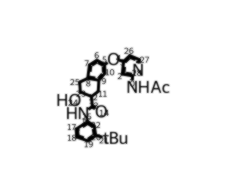 CC(=O)Nc1cc(Oc2ccc3c(c2)CC(C(=O)Nc2cccc(C(C)(C)C)c2)C(O)C3)ccn1